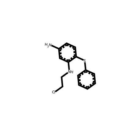 Nc1ccc(Sc2ccccc2)c(NCCCl)c1